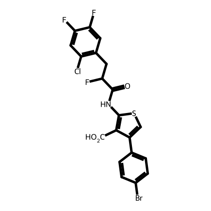 O=C(O)c1c(-c2ccc(Br)cc2)csc1NC(=O)C(F)Cc1cc(F)c(F)cc1Cl